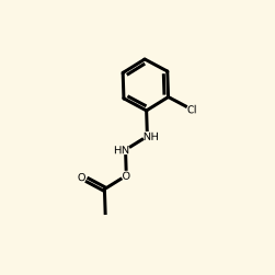 CC(=O)ONNc1ccccc1Cl